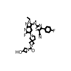 CCn1nc2nc(F)c(N3CCC4(CN(C(=O)N5CC(O)C5)C4)C3)cc2c1N(C)c1nc(-c2ccc(F)cc2)c(C#N)s1